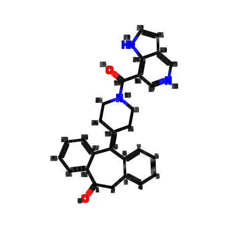 O=C1Cc2ccccc2C(=C2CCN(C(=O)c3cncc4cc[nH]c34)CC2)c2ccccc21